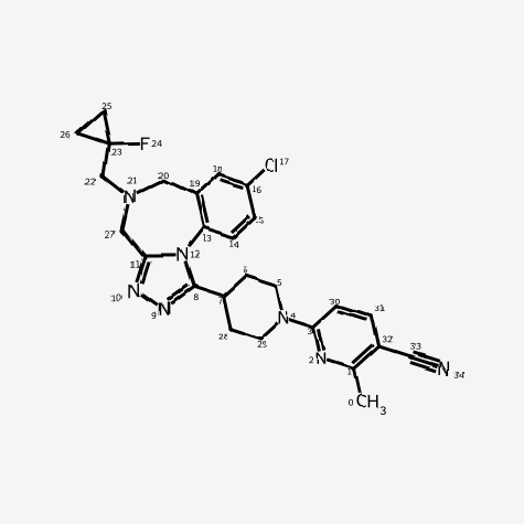 Cc1nc(N2CCC(c3nnc4n3-c3ccc(Cl)cc3CN(CC3(F)CC3)C4)CC2)ccc1C#N